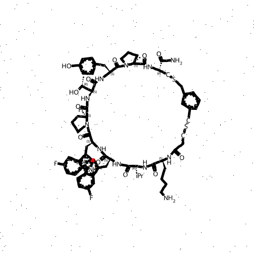 CC(C)[C@H]1NC(=O)[C@H](CCCCN)NC(=O)CCSCc2cccc(c2)CSC[C@@H](C(N)=O)NC(=O)[C@]2(C)CCCN2C(=O)[C@H](Cc2ccc(O)cc2)NC(=O)[C@H]([C@@H](C)O)NC(=O)[C@@H]2CCCN2C(=O)[C@H](Cc2c[nH]c3ccc(F)cc23)NC(=O)[C@H](Cc2c[nH]c3ccc(F)cc23)NC1=O